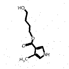 Cc1c[nH]cc1C(=O)OCCCCO